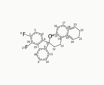 Fc1ccc(C2(c3ccccc3)CCc3c(ccc4c3=CCCC=4)O2)cc1F